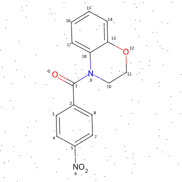 O=C(c1ccc([N+](=O)[O-])cc1)N1CCOc2ccccc21